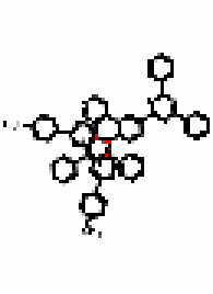 Cc1ccc(-c2ccc3c(c2)c2cc(-c4ccc(C)cc4)ccc2n3-c2ccc(-c3nc(-c4ccccc4)nc(-c4ccccc4)n3)cc2-c2ccncc2-c2nc(-c3ccccc3)nc(-c3ccccc3)n2)cc1